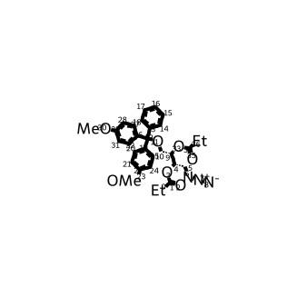 CCC(=O)O[C@@H](CN=[N+]=[N-])[C@H](COC(c1ccccc1)(c1ccc(OC)cc1)c1ccc(OC)cc1)OC(=O)CC